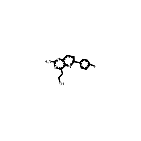 Nc1nc(CCS)c2nc(-c3ccc(F)cc3)ccc2n1